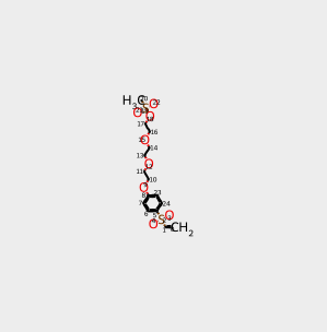 C=CS(=O)(=O)c1ccc(OCCOCCOCCOS(C)(=O)=O)cc1